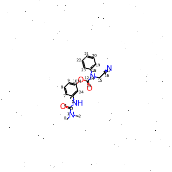 CN(C)C(=O)Nc1cccc(OC(=O)N(CC#N)c2ccccc2)c1